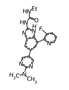 CCNC(=O)Nc1nc2cc(-c3cnc(N(C)C)nc3)cc(-c3ncccc3F)c2[nH]1